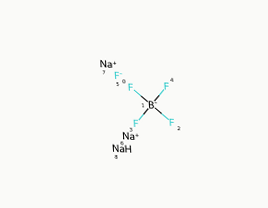 F[B-](F)(F)F.[F-].[Na+].[Na+].[NaH]